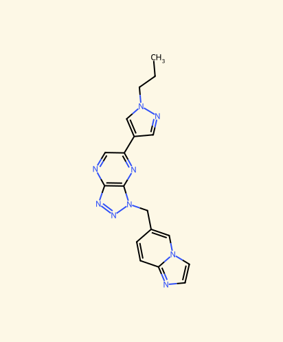 CCCn1cc(-c2cnc3nnn(Cc4ccc5nccn5c4)c3n2)cn1